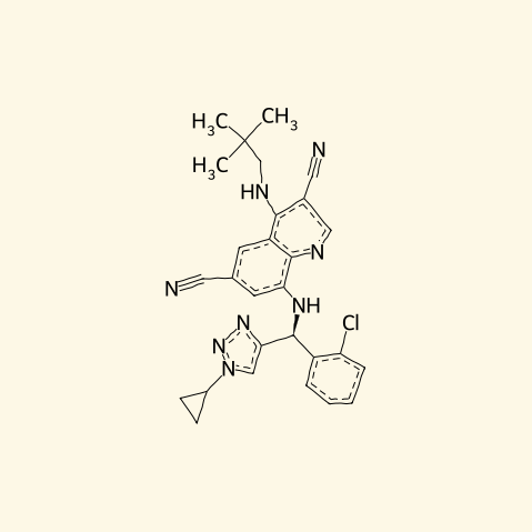 CC(C)(C)CNc1c(C#N)cnc2c(N[C@H](c3cn(C4CC4)nn3)c3ccccc3Cl)cc(C#N)cc12